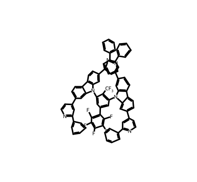 Fc1c(F)c(F)c(-c2cc(-n3c4cc(-c5ccnc(-c6ccccc6)c5)ccc4c4ccc(-c5ccnc(-c6ccccc6)c5)cc43)c(C(F)(F)F)c(-n3c4cc(-c5ccnc(-c6ccccc6)c5)ccc4c4ccc(-c5ccnc(-c6ccccc6)c5)cc43)c2)c(F)c1F